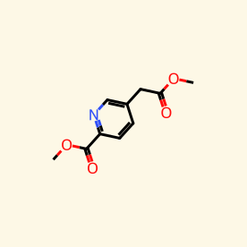 COC(=O)Cc1ccc(C(=O)OC)nc1